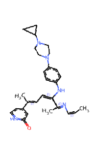 C\C=C/N=C(C)/C(=C\C=C(/C)c1cc[nH]c(=O)c1)Nc1ccc(N2CCN(C3CC3)CC2)cc1